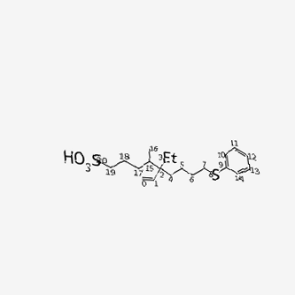 C=CC(CC)(CCCCSc1ccccc1)C(C)CCCS(=O)(=O)O